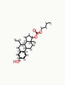 CCCCOC(=O)OC1CCC2C3C(CC)Cc4cc(O)ccc4C3CCC12C